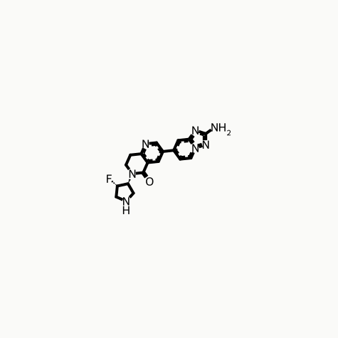 Nc1nc2cc(-c3cnc4c(c3)C(=O)N([C@@H]3CNC[C@@H]3F)CC4)ccn2n1